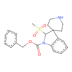 CS(=O)(=O)C1N(C(=O)OCc2ccccc2)c2ccccc2C12CCNCC2